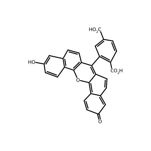 O=C(O)c1ccc(C(=O)O)c(-c2c3ccc4cc(O)ccc4c3oc3c2ccc2cc(=O)ccc23)c1